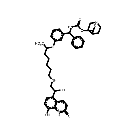 O=C(NC(c1ccccc1)c1cccc(OC(CCCCCNCC(O)c2ccc(O)c3[nH]c(=O)ccc23)C(=O)O)c1)OC1CN2CCC1CC2